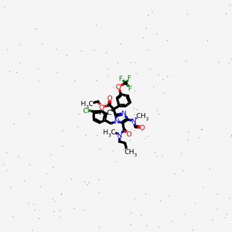 CCCN(C)C(=O)c1c(N(C)C=O)nc(C(C)(C(=O)OCC)c2cccc(OC(F)(F)F)c2)n1Cc1ccc(Cl)cc1